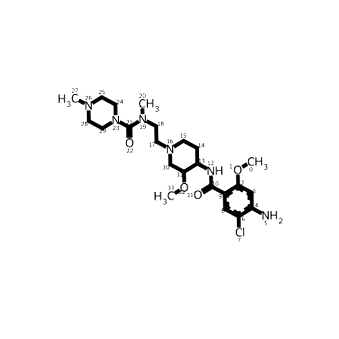 COc1cc(N)c(Cl)cc1C(=O)NC1CCN(CCN(C)C(=O)N2CCN(C)CC2)CC1OC